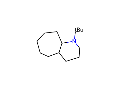 CC(C)(C)N1CCCC2CCCCCC21